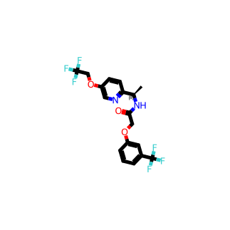 C[C@@H](NC(=O)COc1cccc(C(F)(F)F)c1)c1ccc(OCC(F)(F)F)cn1